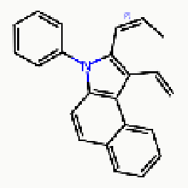 C=Cc1c(/C=C\C)n(-c2ccccc2)c2ccc3ccccc3c12